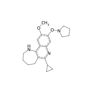 COc1cc2c3c(c(C4CC4)nc2cc1ON1CCCC1)CCCCN3